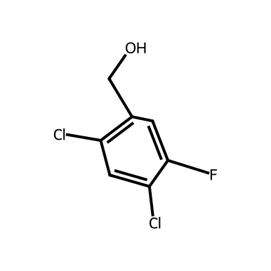 OCc1cc(F)c(Cl)cc1Cl